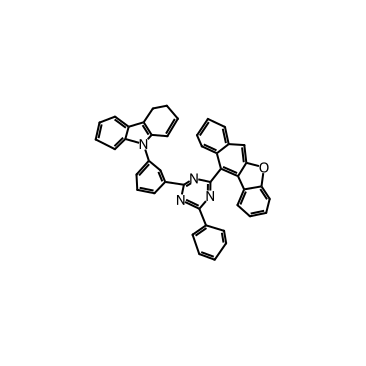 C1=Cc2c(c3ccccc3n2-c2cccc(-c3nc(-c4ccccc4)nc(-c4c5ccccc5cc5oc6ccccc6c45)n3)c2)CC1